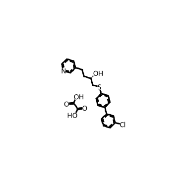 O=C(O)C(=O)O.O[C@@H](CCc1cccnc1)CSc1ccc(-c2cccc(Cl)c2)cc1